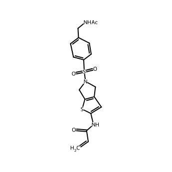 C=CC(=O)Nc1cc2c(s1)CN(S(=O)(=O)c1ccc(CNC(C)=O)cc1)C2